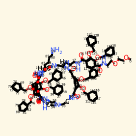 COCCOCCNC(=O)c1ccc(C(=O)NCCC[C@H]2CN3CCNC(=O)c4ccc(c(OCc5ccccc5)c4OCc4ccccc4)C(=O)NCCN(CCNC(=O)c4ccc(c(OCc5ccccc5)c4OCc4ccccc4)C(=O)N[C@@H](CCCCN)C3)CCNC(=O)c3ccc(c(OCc4ccccc4)c3OCc3ccccc3)C(=O)N2)c(OCc2ccccc2)c1OCc1ccccc1